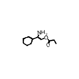 CCC(=O)OCC(N)C1CCCCC1